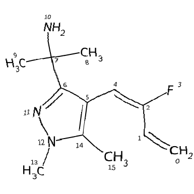 C=C/C(F)=C\c1c(C(C)(C)N)nn(C)c1C